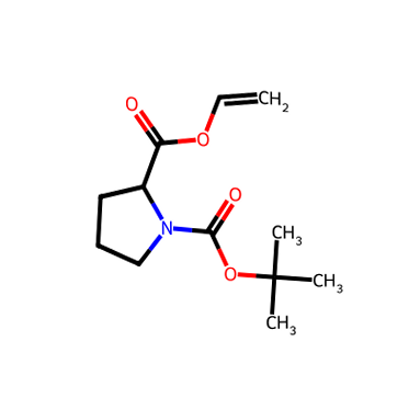 C=COC(=O)C1CCCN1C(=O)OC(C)(C)C